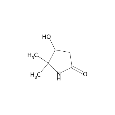 CC1(C)NC(=O)CC1O